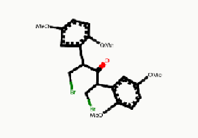 COc1ccc(OC)c(C(CBr)C(=O)C(CBr)c2cc(OC)ccc2OC)c1